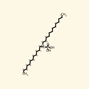 CCCCCCCCCCCCCOCCCCCCCCCCCC.O=P(O)(O)O